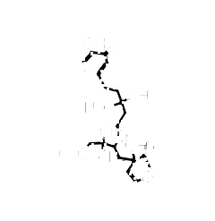 CCC(C)(C)C(CC1(O)C=COCC1=O)OCCC(C)(C)CCc1cc(=O)c(O)co1